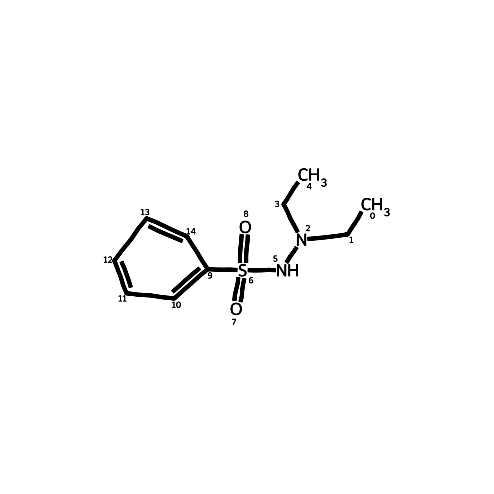 CCN(CC)NS(=O)(=O)c1ccccc1